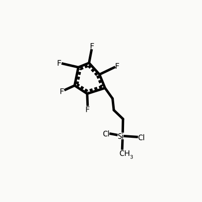 C[Si](Cl)(Cl)CCCc1c(F)c(F)c(F)c(F)c1F